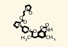 Cc1cc(C[C@@H](C)C(=O)N2CCC(N3CCC[C@H]3C(=O)OCCN3CCCC3=O)CC2)cc2oc(=O)[nH]c12